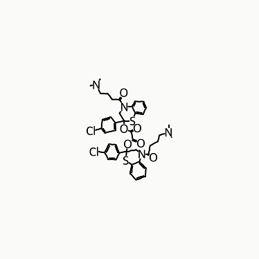 CN(C)CCCC(=O)N1CC(OC(=O)C(=O)OC2(c3ccc(Cl)cc3)CN(C(=O)CCCN(C)C)c3ccccc3S2)(c2ccc(Cl)cc2)Sc2ccccc21